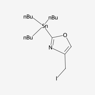 CCC[CH2][Sn]([CH2]CCC)([CH2]CCC)[c]1nc(CI)co1